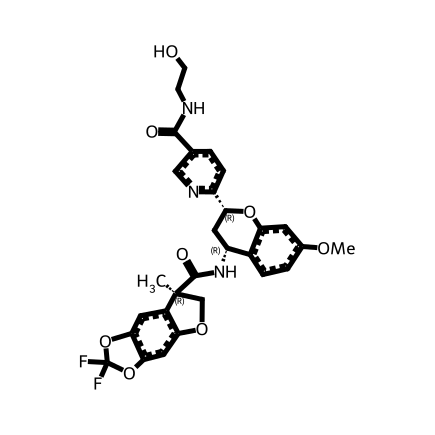 COc1ccc2c(c1)O[C@@H](c1ccc(C(=O)NCCO)cn1)C[C@H]2NC(=O)[C@@]1(C)COc2cc3c(cc21)OC(F)(F)O3